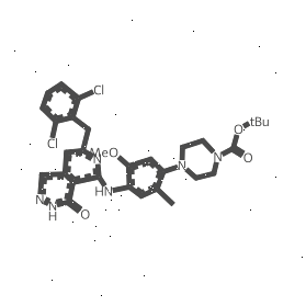 COc1cc(N2CCN(C(=O)OC(C)(C)C)CC2)c(C)cc1Nc1nc(Cc2c(Cl)cccc2Cl)cc2cn[nH]c(=O)c12